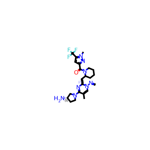 C=NN1C=C(C)C(N2CC[C@H](N)C2)=N/C1=C/C1CCCCN1C(=O)c1cc(C(F)(F)F)n(C)n1